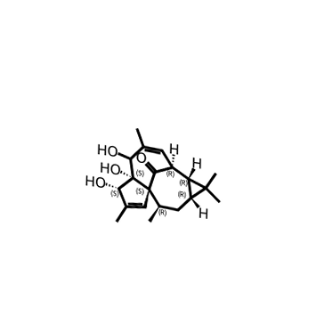 CC1=C[C@@H]2C(=O)[C@]3(C=C(C)[C@H](O)[C@@]3(O)C1O)[C@H](C)C[C@@H]1[C@H]2C1(C)C